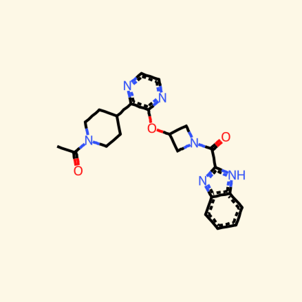 CC(=O)N1CCC(c2nccnc2OC2CN(C(=O)c3nc4ccccc4[nH]3)C2)CC1